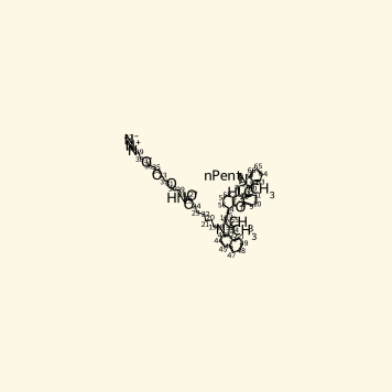 CCCCC[N+]1=C(/C=C/C2=C(Oc3ccccc3)C(=C/C=C3/N(CCCCCCOC(=O)NCCOCCOCCOCCN=[N+]=[N-])c4ccc5ccccc5c4C3(C)C)/CCC2)C(C)(C)c2ccccc21